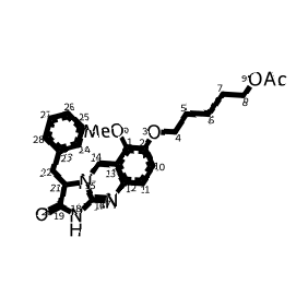 COc1c(OCCCCCOC(C)=O)ccc2c1CN1C(=N2)NC(=O)C1Cc1ccccc1